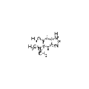 Cc1cc2[nH]cnc2cc1N(C)C